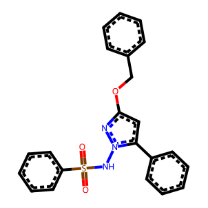 O=S(=O)(Nn1nc(OCc2ccccc2)cc1-c1ccccc1)c1ccccc1